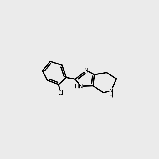 Clc1ccccc1-c1nc2c([nH]1)CNCC2